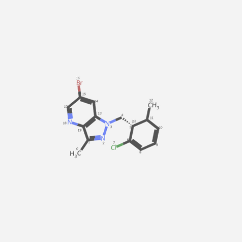 Cc1nn(C[C@H]2C(Cl)=CC=CC2C)c2cc(Br)cnc12